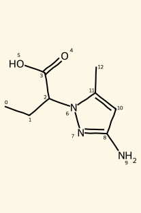 CCC(C(=O)O)n1nc(N)cc1C